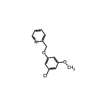 COc1cc(Cl)cc(OCc2ccccn2)c1